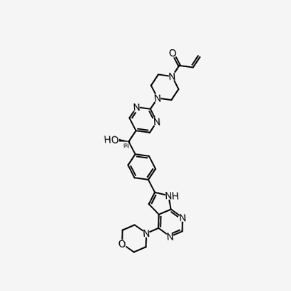 C=CC(=O)N1CCN(c2ncc([C@H](O)c3ccc(-c4cc5c(N6CCOCC6)ncnc5[nH]4)cc3)cn2)CC1